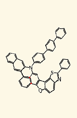 c1ccc(-c2ccc(-c3ccc(N(c4ccc5oc6ccc7nc(-c8ccccc8)sc7c6c5c4)c4cc5ccccc5cc4-c4ccccc4)cc3)cc2)cc1